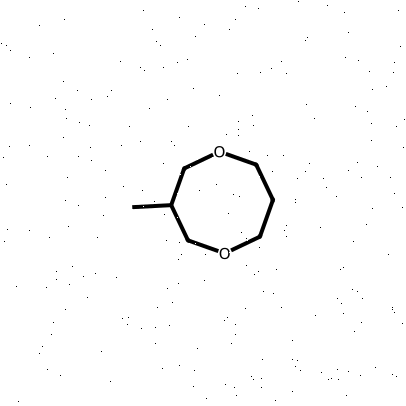 CC1COCCCOC1